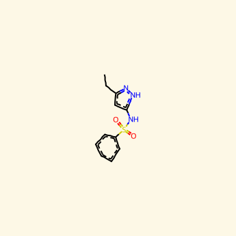 CCc1cc(NS(=O)(=O)c2ccccc2)[nH]n1